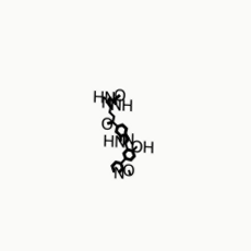 COc1ncccc1-c1ccc(O)c(-c2nc3ccc(C(=O)CCc4n[nH]c(=O)[nH]4)cc3[nH]2)c1